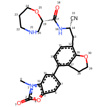 Cn1c(=O)oc2ccc(-c3ccc(C[C@@H](C#N)NC(=O)[C@@H]4CNCCCO4)c4c3CCO4)cc21